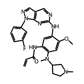 C=CC(=O)Nc1cc(Nc2ncc3cnn(-c4cccc(F)c4)c3n2)c(OC)cc1N(C)C1CCN(C)C1